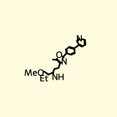 CCC(COC)C(=N)CCc1nc(-c2ccc(-c3cccnc3)cc2)oc1C